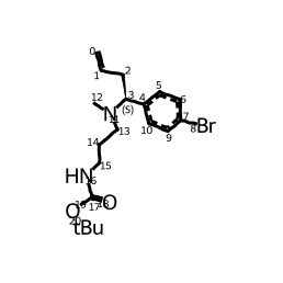 C=CC[C@@H](c1ccc(Br)cc1)N(C)CCCNC(=O)OC(C)(C)C